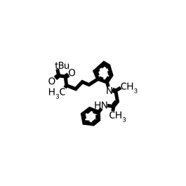 CC(/C=C(/C)Nc1ccccc1)=Nc1ccccc1CCCC(C)C(=O)C(=O)C(C)(C)C